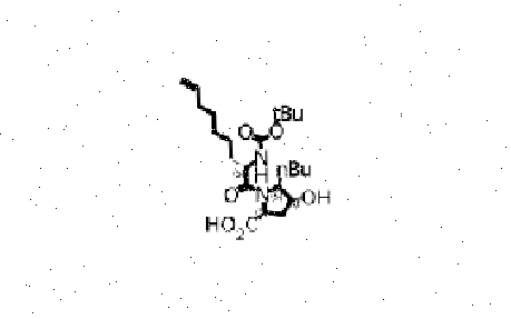 C=CCCCCC[C@H](NC(=O)OC(C)(C)C)C(=O)N1[C@H](C(=O)O)C[C@@H](O)[C@@H]1CCCC